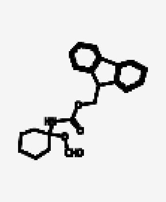 O=COC1(NC(=O)OCC2c3ccccc3-c3ccccc32)CCCCC1